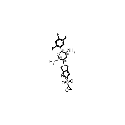 C[C@@H]1O[C@H](c2cc(F)c(F)cc2F)[C@@H](N)C[C@H]1N1Cc2cn(S(=O)(=O)C3CO3)nc2C1